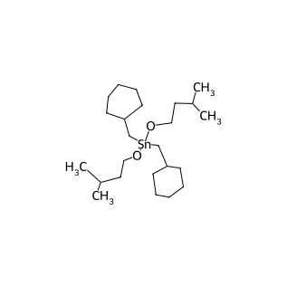 CC(C)CC[O][Sn]([CH2]C1CCCCC1)([CH2]C1CCCCC1)[O]CCC(C)C